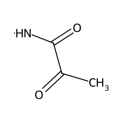 CC(=O)C([NH])=O